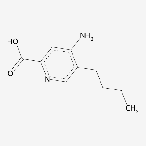 CCCCc1cnc(C(=O)O)cc1N